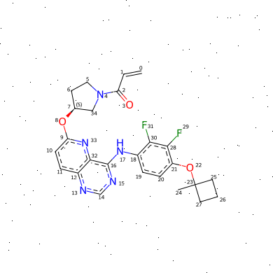 C=CC(=O)N1CC[C@H](Oc2ccc3ncnc(Nc4ccc(OC5(C)CCC5)c(F)c4F)c3n2)C1